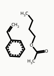 C=Cc1ccccc1.CCCCOC(C)=O